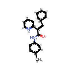 Cc1ccc(NC(=O)C(=Cc2ccccc2)c2ccccn2)cc1